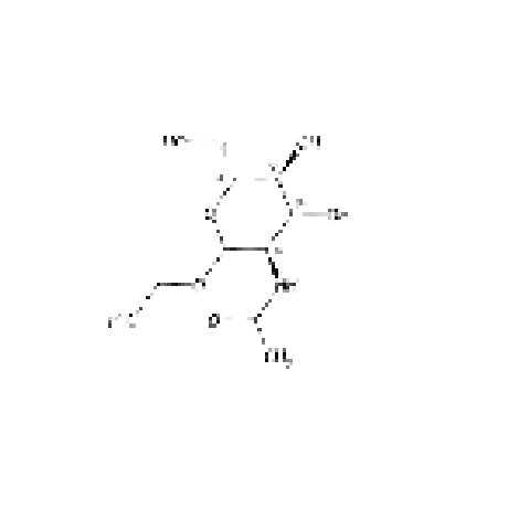 CCOC1O[C@H](CO)[C@@H](O)[C@H](O)[C@H]1NC(C)=O